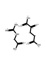 N=C(N)NCC(=O)O.O=C(O)CCC(=O)C(=O)O